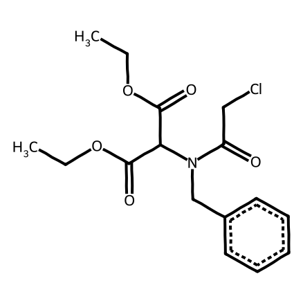 CCOC(=O)C(C(=O)OCC)N(Cc1ccccc1)C(=O)CCl